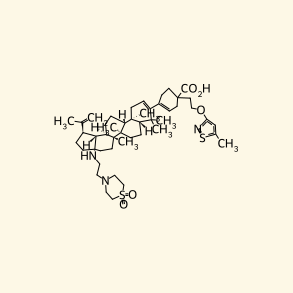 C=C(C)[C@@H]1CC[C@]2(NCCN3CCS(=O)(=O)CC3)CC[C@]3(C)[C@H](CC[C@@H]4[C@@]5(C)CC=C(C6=CCC(CCOc7cc(C)sn7)(C(=O)O)CC6)C(C)(C)[C@@H]5CC[C@]43C)[C@@H]12